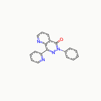 O=c1c2cccnc2c(-c2ccccn2)nn1-c1ccccc1